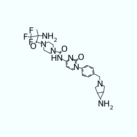 CC(N)(C(=O)N1CCN(C(=O)Nc2ccn(-c3ccc(CN4CC5C(N)C5C4)cc3)c(=O)n2)CC1)C(F)(F)F